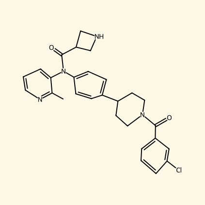 Cc1ncccc1N(C(=O)C1CNC1)c1ccc(C2CCN(C(=O)c3cccc(Cl)c3)CC2)cc1